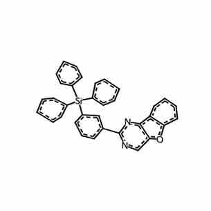 c1ccc([Si](c2ccccc2)(c2ccccc2)c2cccc(-c3ncc4oc5ccccc5c4n3)c2)cc1